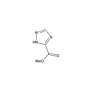 COC(=O)C1=NC=[N+]N1